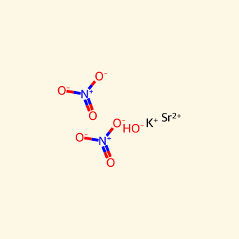 O=[N+]([O-])[O-].O=[N+]([O-])[O-].[K+].[OH-].[Sr+2]